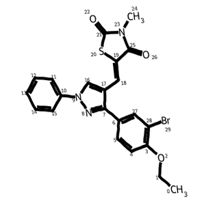 CCOc1ccc(-c2nn(-c3ccccc3)cc2C=C2SC(=O)N(C)C2=O)cc1Br